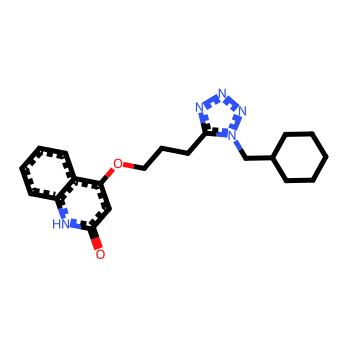 O=c1cc(OCCCc2nnnn2CC2CCCCC2)c2ccccc2[nH]1